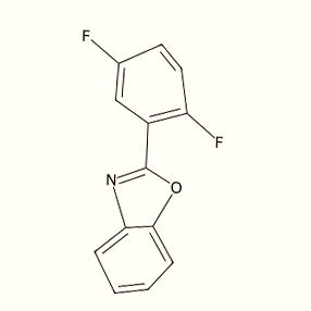 Fc1ccc(F)c(-c2nc3ccccc3o2)c1